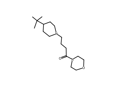 CC(C)(C)C1CCN(CCCC(=O)N2CCOCC2)CC1